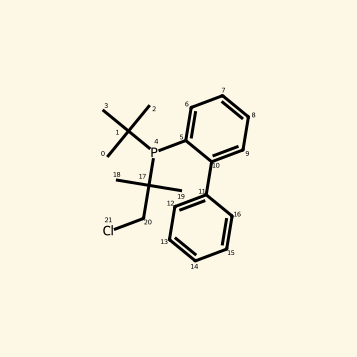 CC(C)(C)P(c1ccccc1-c1ccccc1)C(C)(C)CCl